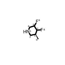 C[C@H]1CNCC(F)C1F